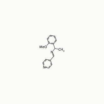 COc1ccccc1C(C)N=Cc1ccncc1